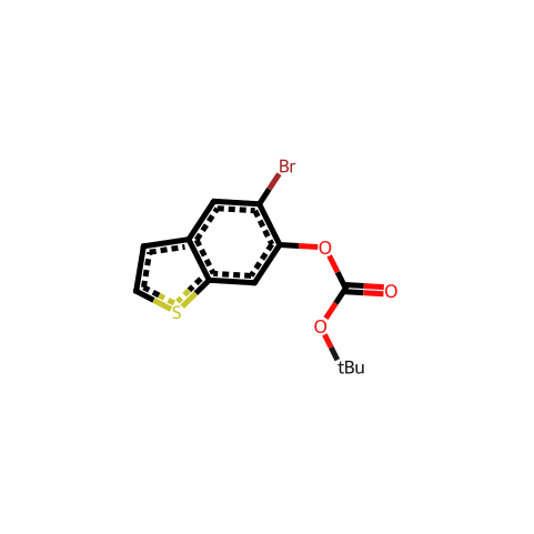 CC(C)(C)OC(=O)Oc1cc2sccc2cc1Br